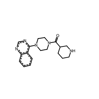 O=C(C1CCCNC1)N1CCN(c2ncnc3ccccc23)CC1